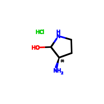 Cl.N[C@@H]1CCNC1O